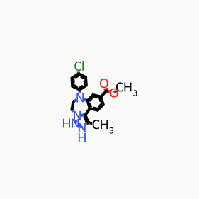 COC(=O)c1ccc2c(c1)N(c1ccc(Cl)cc1)CCN1NNC(C)=C21